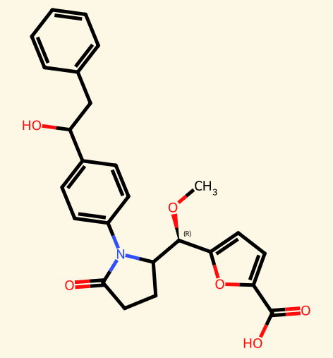 CO[C@@H](c1ccc(C(=O)O)o1)C1CCC(=O)N1c1ccc(C(O)Cc2ccccc2)cc1